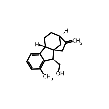 C=C1C[C@]23C[C@H]1CC[C@H]2c1cccc(C)c1[C@@H]3CO